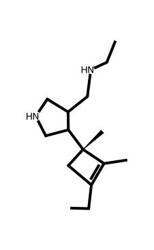 CCNCC1CNCC1[C@@]1(C)CC(CC)=C1C